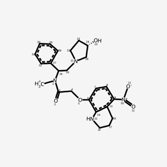 CN(C(=O)COc1ccc([N+](=O)[O-])c2c1NCCC2)C(CN1CC[C@H](O)C1)c1ccccc1